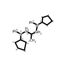 CC([SiH2]N(C(C)C)C1CCCC1)[SiH2]N(C(C)C)C1CCCC1